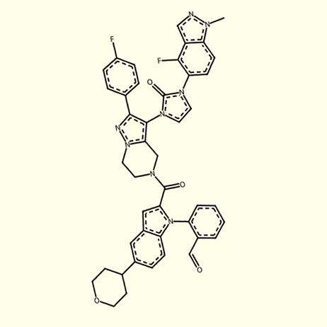 Cn1ncc2c(F)c(-n3ccn(-c4c(-c5ccc(F)cc5)nn5c4CN(C(=O)c4cc6cc(C7CCOCC7)ccc6n4-c4ccccc4C=O)CC5)c3=O)ccc21